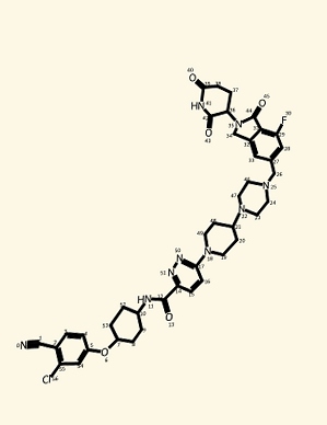 N#Cc1ccc(OC2CCC(NC(=O)c3ccc(N4CCC(N5CCN(Cc6cc(F)c7c(c6)CN(C6CCC(=O)NC6=O)C7=O)CC5)CC4)nn3)CC2)cc1Cl